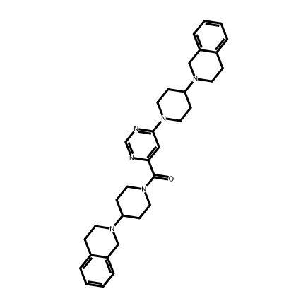 O=C(c1cc(N2CCC(N3CCc4ccccc4C3)CC2)ncn1)N1CCC(N2CCc3ccccc3C2)CC1